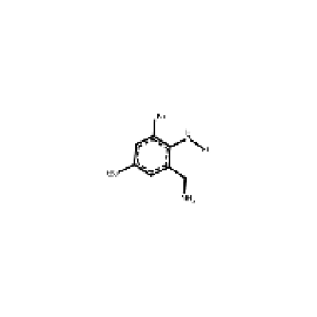 CCPc1c(CN)cc(C(C)(C)C)cc1C(C)(C)C